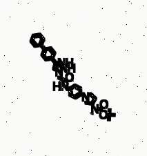 CN(C(=O)OC(C)(C)C)C1CCN(c2ccc(NC(=O)CN3C=C(c4ccc(-c5ccccc5)cc4)NN3)cc2)C1